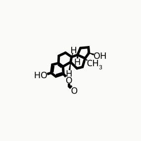 C[C@]12CC[C@@H]3c4c(cc(O)cc4OC=O)CC[C@H]3[C@@H]1CC[C@H]2O